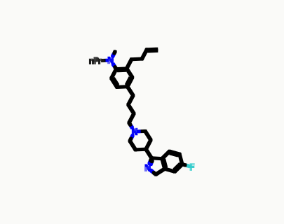 C=CCCc1cc(CCCCN2CCC(C3=NCc4cc(F)ccc43)CC2)ccc1N(C)CCC